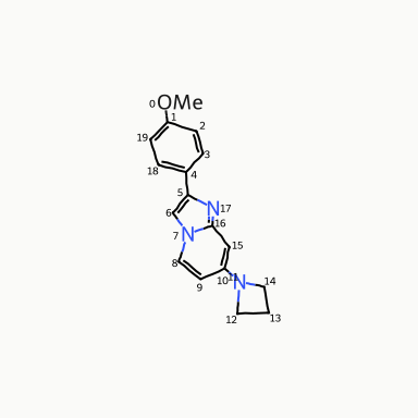 COc1ccc(-c2cn3ccc(N4CCC4)cc3n2)cc1